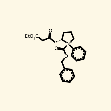 CCOC(=O)CC(=O)C[C@@H]1CCC[N+]1(C(=O)OCc1ccccc1)c1ccccc1